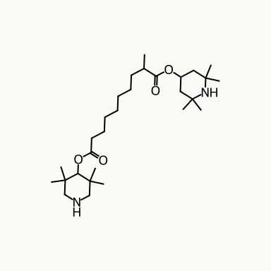 CC(CCCCCCCC(=O)OC1C(C)(C)CNCC1(C)C)C(=O)OC1CC(C)(C)NC(C)(C)C1